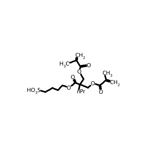 C=C(C)C(=O)OCC(CCC)(COC(=O)C(=C)C)C(=O)OCCCCS(=O)(=O)O